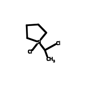 CC(Cl)[Si]1(Cl)CCCC1